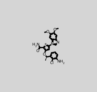 COc1cc2ncn(-c3cc(O[C@H](C)c4cccc(N)c4Cl)c(C(N)=O)s3)c2cc1OC